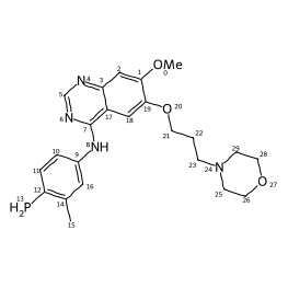 COc1cc2ncnc(Nc3ccc(P)c(C)c3)c2cc1OCCCN1CCOCC1